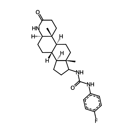 C[C@]12CCC(=O)N[C@@H]1CC[C@@H]1[C@@H]2CC[C@]2(C)C(NC(=O)Nc3ccc(F)cc3)CC[C@@H]12